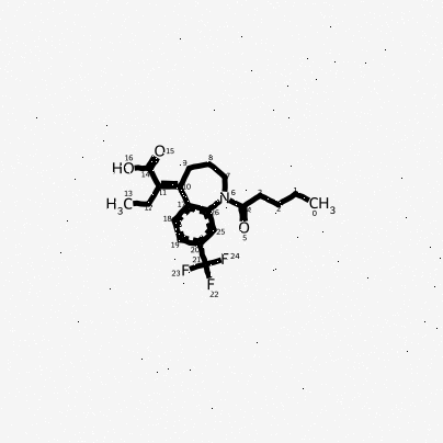 CCCCC(=O)N1CCC/C(=C(/CC)C(=O)O)c2ccc(C(F)(F)F)cc21